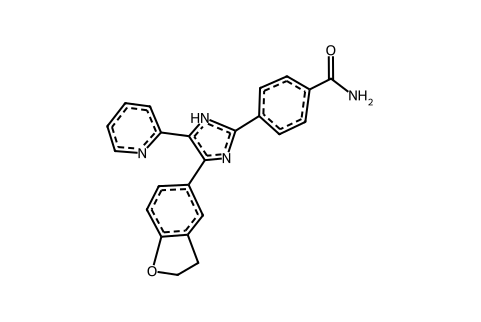 NC(=O)c1ccc(-c2nc(-c3ccc4c(c3)CCO4)c(-c3ccccn3)[nH]2)cc1